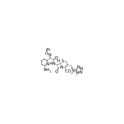 CC(C)O/N=C(/C(=O)NC1C(=O)N2C(C(=O)O)=C(CSc3nnnn3C)CS[C@H]12)c1cccc(N)n1